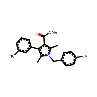 COC(=O)c1c(-c2cccc(C#N)c2)c(C)n(Cc2ccc(C#N)cc2)c1C